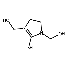 OCN1CCS(CO)=C1S